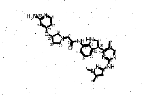 Cc1cnc(Nc2cc(C)n(C)n2)nc1-c1c[nH]c2c(NC(=O)CN3CCC(Oc4ccnc(N)c4)C3)cccc12